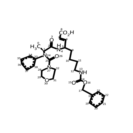 C[C@@H](C(=O)NC(C=CC(=O)O)CCCCNC(=O)OCc1ccccc1)N(C(=O)N1CCOCC1)c1ccccc1